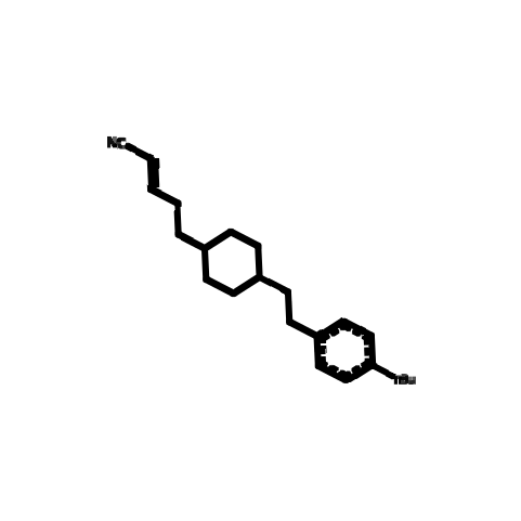 CCCCc1ccc(CCC2CCC(CCC=CC#N)CC2)cc1